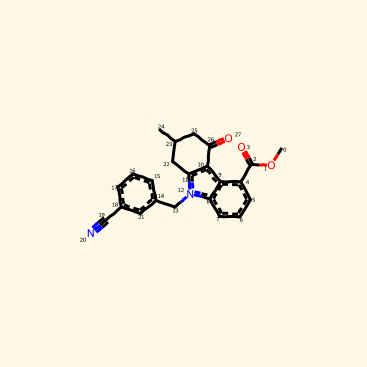 COC(=O)c1cccc2c1c1c(n2Cc2cccc(C#N)c2)CC(C)CC1=O